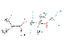 CC(C)C(C)OC(F)(F)C(C)(C)OC(F)(F)F